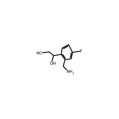 N#CCC(O)c1ccc(F)cc1CN